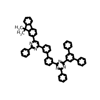 CC1(C)c2ccccc2-c2ccc(-c3cc(-c4cccc(-c5cccc(-c6nc(-c7ccccc7)nc(-c7cc(-c8ccccc8)cc(-c8ccccc8)c7)n6)c5)c4)nc(-c4ccccc4)n3)cc21